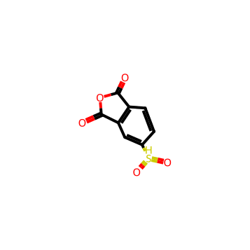 O=C1OC(=O)c2cc([SH](=O)=O)ccc21